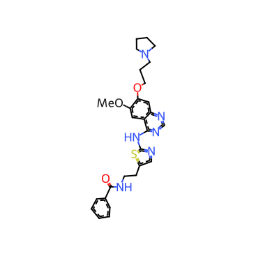 COc1cc2c(Nc3ncc(CCNC(=O)c4ccccc4)s3)ncnc2cc1OCCCN1CCCC1